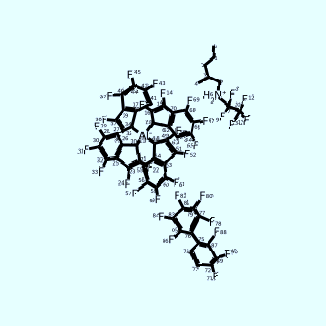 CCCC(C)C[NH2+]C(F)(F)C(F)(F)F.FC1=C(F)[CH]([Al-]([CH]2C(F)=C(F)c3c2cc(F)c(F)c3F)([CH]2C(F)=C(F)c3c2cc(F)c(F)c3F)[CH]2C(F)=C(F)c3c2cc(F)c(F)c3F)c2cc(F)c(F)c(F)c21.Fc1ccc(-c2c(F)c(F)c(F)c(F)c2F)c(F)c1F